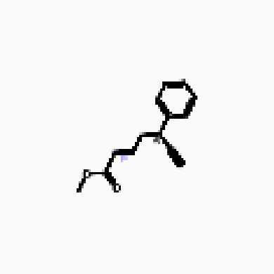 C#C[C@@H](C/C=C/C(=O)OC)c1ccccc1